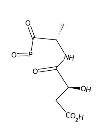 C[C@H](NC(=O)[C@@H](O)CC(=O)O)C(=O)P=O